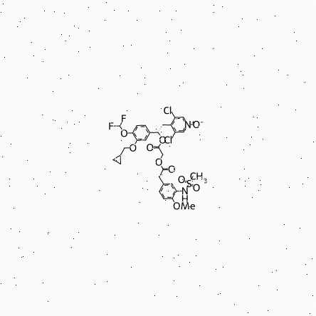 COc1ccc(CC(=O)OCC(=O)O[C@@H](Cc2c(Cl)c[n+]([O-])cc2Cl)c2ccc(OC(F)F)c(OCC3CC3)c2)cc1NS(C)(=O)=O